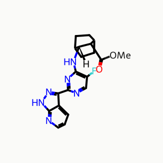 COC(=O)C1C2CCC(CC2)[C@H]1Nc1nc(-c2n[nH]c3ncccc23)ncc1F